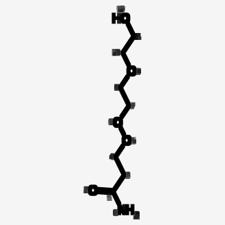 NC(=O)CCOOCCOCCO